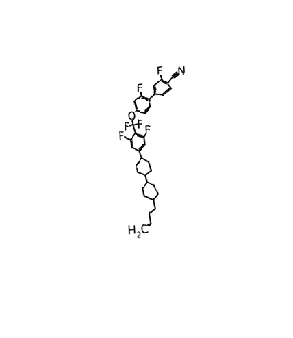 C=CCCC1CCC(C2CCC(c3cc(F)c(C(F)(F)Oc4ccc(-c5ccc(C#N)c(F)c5)c(F)c4)c(F)c3)CC2)CC1